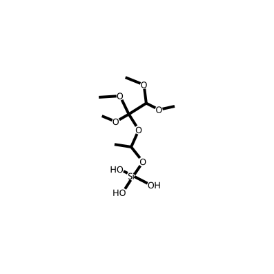 COC(OC)C(OC)(OC)OC(C)O[Si](O)(O)O